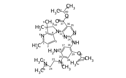 Cc1ccc2c(n1)C(C)(C)CN2c1nc(Nc2cc(N)c(N(C)CCN(C)C)cc2OC(C)C)ncc1C(=O)OC(C)C